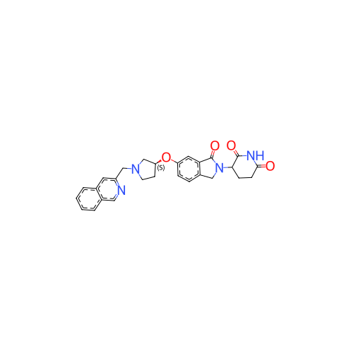 O=C1CCC(N2Cc3ccc(O[C@H]4CCN(Cc5cc6ccccc6cn5)C4)cc3C2=O)C(=O)N1